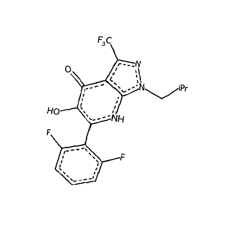 CC(C)Cn1nc(C(F)(F)F)c2c(=O)c(O)c(-c3c(F)cccc3F)[nH]c21